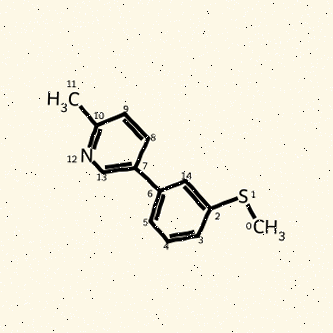 CSc1cccc(-c2ccc(C)nc2)c1